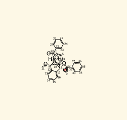 CO[C@]12c3ccccc3[C@](OC)(c3ccccc31)[C@@H](OC(=O)c1ccccc1)[C@H]2OC(=O)c1ccccc1